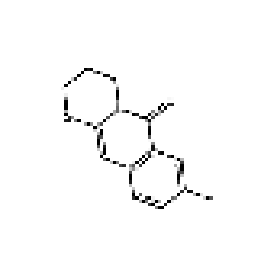 Cc1ccc2cc3n(c(=O)c2c1)CCCS3